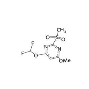 COc1cc(OC(F)F)nc(S(C)(=O)=O)n1